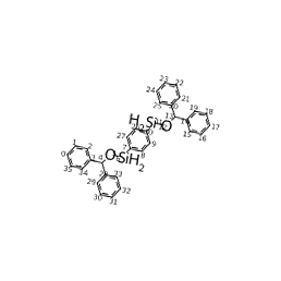 c1ccc(C(O[SiH2]c2ccc([SiH2]OC(c3ccccc3)c3ccccc3)cc2)c2ccccc2)cc1